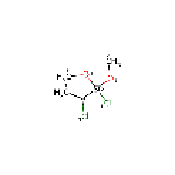 CO[Si](Cl)(OC)C(C)Cl